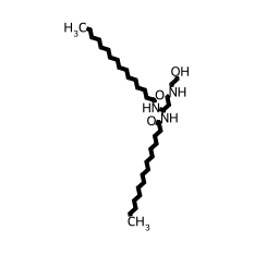 CCCCCCCCCCCCCCCC(=O)NC(CCNCCO)NC(=O)CCCCCCCCCCCCCCC